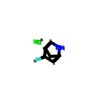 Cl.FC1CC2CC1CN2